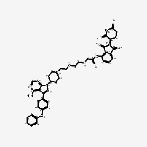 Nc1ncnc2c1c(-c1ccc(Oc3ccccc3)cc1)nn2C1CCN(CCOCCOCC(=O)Nc2cccc3c2C(=O)N(C2CCC(=O)NC2=O)C3=O)CC1